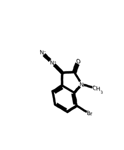 CN1C(=O)C(=[N+]=[N-])c2cccc(Br)c21